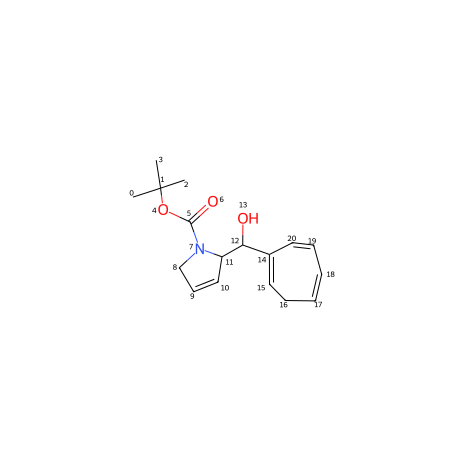 CC(C)(C)OC(=O)N1CC=CC1C(O)C1=CCC=CC=C1